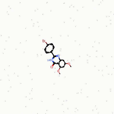 COc1cc(OC)c2c(=O)[nH]c(-c3ccc(Br)cc3)nc2c1